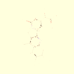 CCc1c2c(nc3c1Cn1c-3cc(C(O)C(=O)O)cc1=O)CC(C)C(C)=C2